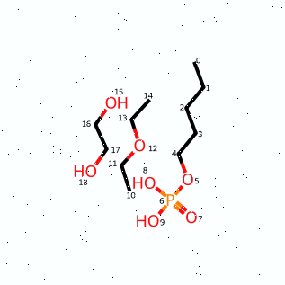 CCCCCOP(=O)(O)O.CCOCC.OCCO